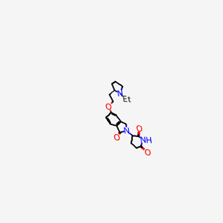 CCN1CCC[C@@H]1CCOc1ccc2c(c1)CN(C1CCC(=O)NC1=O)C2=O